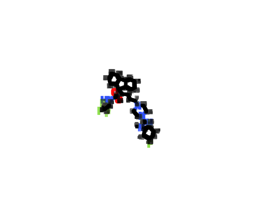 Cn1c(N2CCN(CCCCC3(OC(=O)NCC(F)(F)F)c4ccccc4-c4ccccc43)CC2)nc2ccc(F)cc21